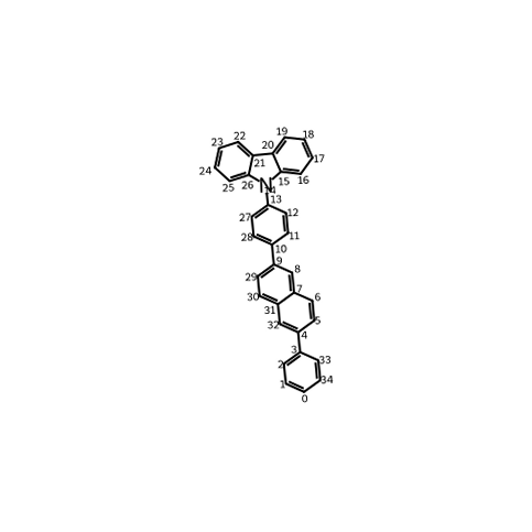 c1ccc(-c2ccc3cc(-c4ccc(-n5c6ccccc6c6ccccc65)cc4)ccc3c2)cc1